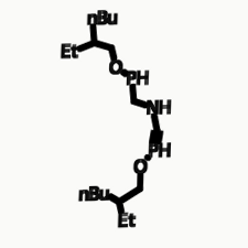 CCCCC(CC)COPCNC#[PH]OCC(CC)CCCC